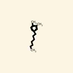 CCCCCC[CH]c1ccc(C)c(C)c1